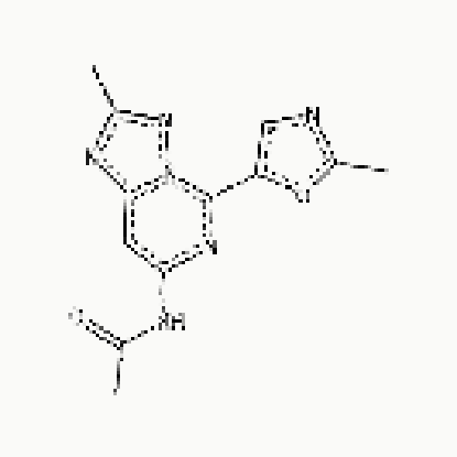 CC(=O)Nc1cc2nc(C)nn2c(-c2cnc(C)o2)n1